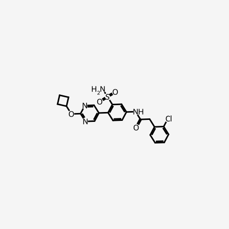 NS(=O)(=O)c1cc(NC(=O)Cc2ccccc2Cl)ccc1-c1cnc(OC2CCC2)nc1